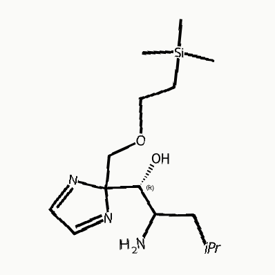 CC(C)CC(N)[C@@H](O)C1(COCC[Si](C)(C)C)N=CC=N1